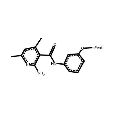 CCCCCOc1cccc(NC(=O)c2c(C)cc(C)nc2N)c1